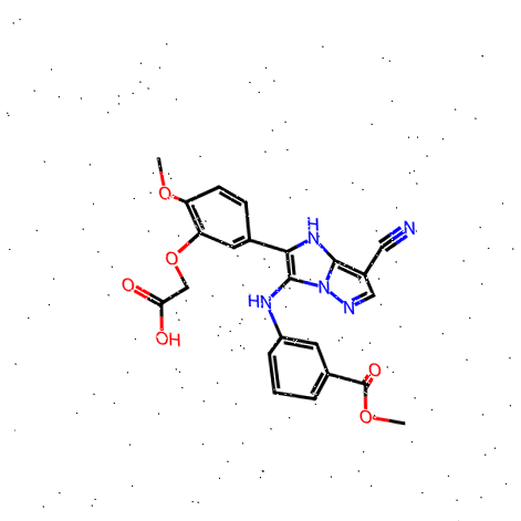 COC(=O)c1cccc(Nc2c(-c3ccc(OC)c(OCC(=O)O)c3)[nH]c3c(C#N)cnn23)c1